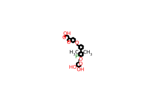 Cc1cc(OC[C@@H]2C[C@H](O)[C@H](O)CO2)c(F)c(C)c1-c1cccc(COc2ccc3c(c2)OCC3CC(=O)O)c1